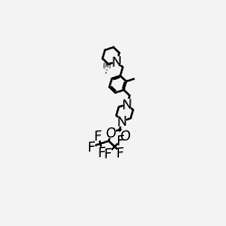 Cc1c(CN2CCN(C(=O)OC(C(F)(F)F)C(F)(F)F)CC2)cccc1CN1CCCC[C@H]1C